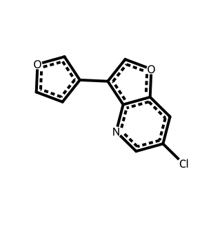 Clc1cnc2c(-c3ccoc3)coc2c1